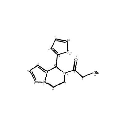 CC(C)(C)CC(=O)N1CCn2cccc2C1c1cccs1